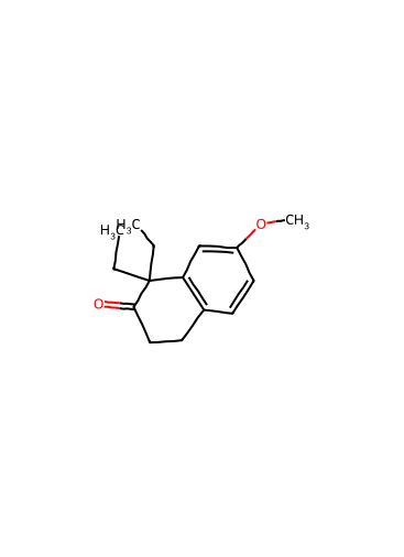 CCC1(CC)C(=O)CCc2ccc(OC)cc21